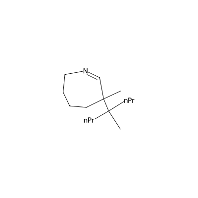 CCCC(C)(CCC)C1(C)C=NCCCC1